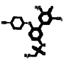 CCS(=O)(=O)Nc1ccc(O[C@H]2CC[C@@H](O)CC2)c(-c2cc(C)c(=O)n(C)c2)c1